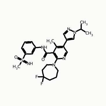 Cc1c(-c2cnn(C(C)C)c2)cnc(N2CCCC(F)(F)CC2)c1C(=O)Nc1cccc(S(C)(=N)=O)c1